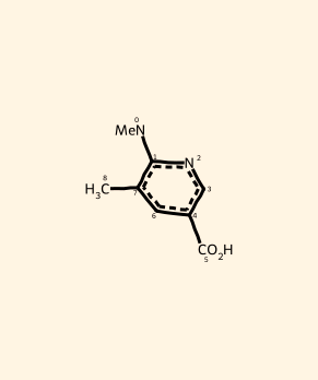 CNc1ncc(C(=O)O)cc1C